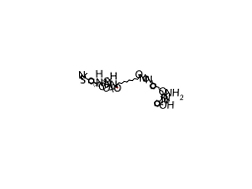 Cc1ncsc1-c1ccc([C@H](C)NC(=O)[C@@H]2CCCN2C(=O)[C@@H](NC(=O)CCCCCCCCC(=O)N2CCN(Cc3cccc(CCOc4cc(-c5ccccc5O)nnc4N)c3)CC2)C(C)(C)C)cc1